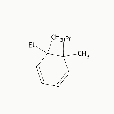 CCCC1(C)C=CC=CC1(C)CC